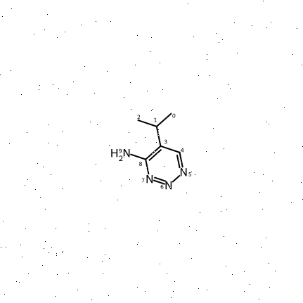 CC(C)c1cnnnc1N